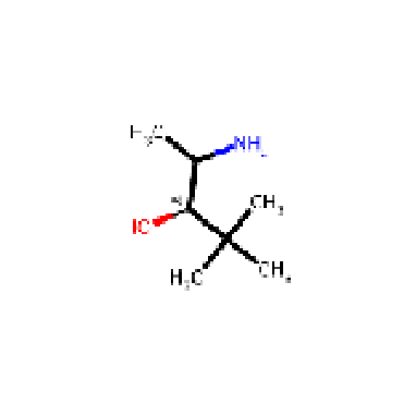 CC(N)[C@H](O)C(C)(C)C